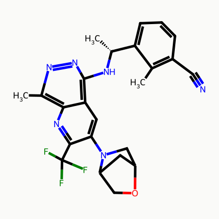 Cc1c(C#N)cccc1[C@@H](C)Nc1nnc(C)c2nc(C(F)(F)F)c(N3CC4CC3CO4)cc12